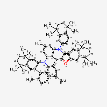 Bc1ccccc1-c1cc2c(cc1N1c3ccc(C(C)(C)C)cc3B3c4oc5cc6c(cc5c4N(c4ccc5c(c4)C(C)(C)CCC5(C)C)c4cc(C)cc1c43)C(C)(C)CCC6(C)C)C(C)(C)CCC2(C)C